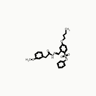 CCCCOc1ccc(S(=O)(=O)Oc2ccccc2)c(/C=N/NC(=O)Cc2cccc(OC)c2)c1